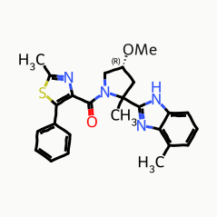 CO[C@H]1CN(C(=O)c2nc(C)sc2-c2ccccc2)C(C)(c2nc3c(C)cccc3[nH]2)C1